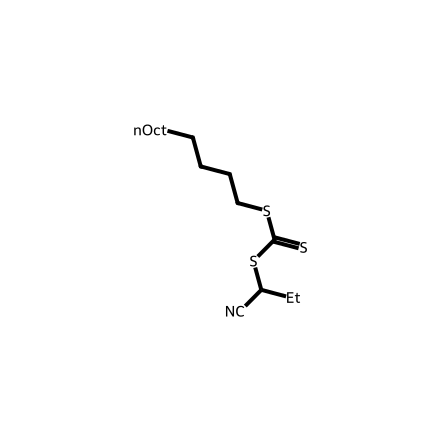 CCCCCCCCCCCCSC(=S)SC(C#N)CC